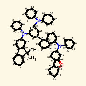 CC1(C)c2ccccc2-c2ccc(N(c3ccccc3)c3cc(-c4cccc5c(N(c6ccccc6)c6ccc7c(c6)oc6ccccc67)cccc45)cc(N(c4ccccc4)c4ccccc4)c3)cc21